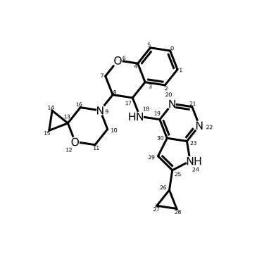 c1ccc2c(c1)OCC(N1CCOC3(CC3)C1)C2Nc1ncnc2[nH]c(C3CC3)cc12